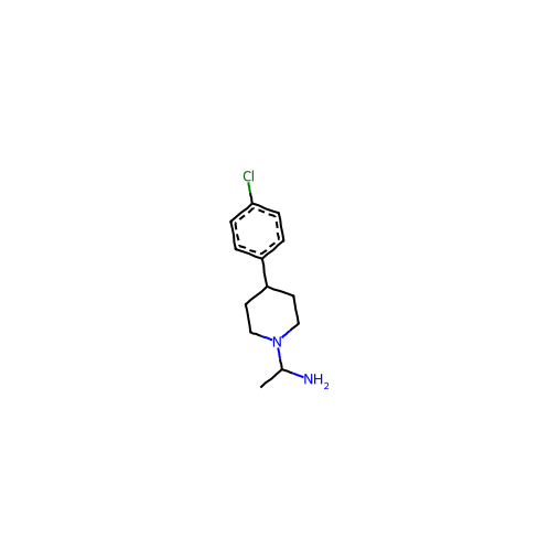 CC(N)N1CCC(c2ccc(Cl)cc2)CC1